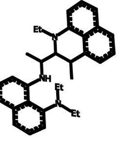 CCN(CC)c1cccc2cccc(NC(C)C3C(C)c4cccc5cccc(c45)N3CC)c12